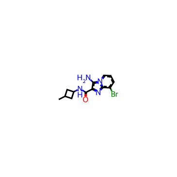 CC1CC(NC(=O)c2nc3c(Br)cccn3c2N)C1